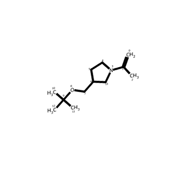 C=C(C)N1CCC(COC(C)(C)C)C1